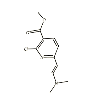 COC(=O)c1ccc(C=CN(C)C)nc1Cl